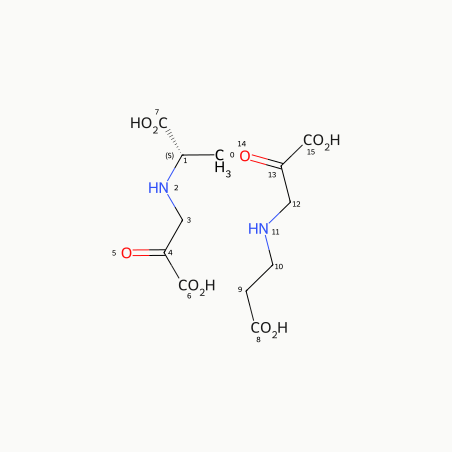 C[C@H](NCC(=O)C(=O)O)C(=O)O.O=C(O)CCNCC(=O)C(=O)O